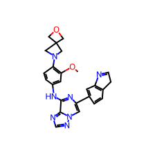 COc1cc(Nc2nc(-c3ccc4c(c3)N=CC4)cn3ncnc23)ccc1N1CC2(COC2)C1